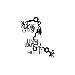 Cc1ncsc1-c1ccc(CNC(=O)[C@@H]2C[C@@H](O)CN2C(=O)C(NC(=O)CCCc2cn(CCOc3cccc(C#CCn4c(=O)n(C)c(=O)c5c4nc(S(C)(=O)=O)n5C)c3)nn2)C(C)(C)C)cc1